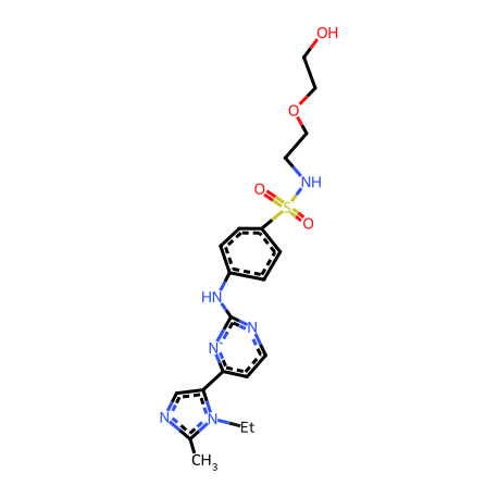 CCn1c(-c2ccnc(Nc3ccc(S(=O)(=O)NCCOCCO)cc3)n2)cnc1C